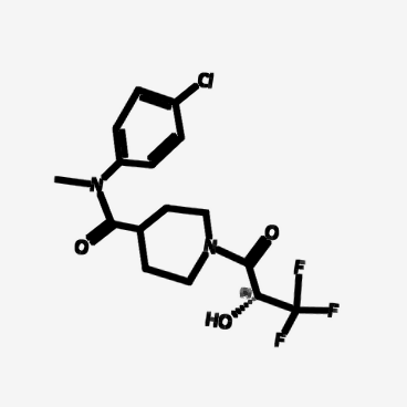 CN(C(=O)C1CCN(C(=O)[C@@H](O)C(F)(F)F)CC1)c1ccc(Cl)cc1